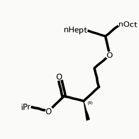 CCCCCCCCC(CCCCCCC)OCC[C@@H](C)C(=O)OC(C)C